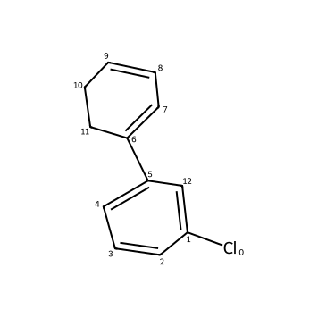 Clc1cccc(C2=CC=CCC2)c1